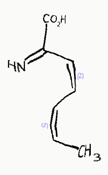 C/C=C\C=C/C(=N)C(=O)O